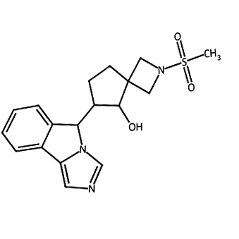 CS(=O)(=O)N1CC2(CCC(C3c4ccccc4-c4cncn43)C2O)C1